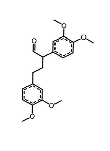 COc1ccc(CCC(C=O)c2ccc(OC)c(OC)c2)cc1OC